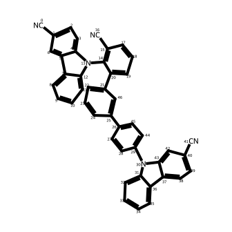 N#Cc1ccc2c(c1)c1ccccc1n2-c1c(C#N)cccc1-c1cccc(-c2ccc(-n3c4ccccc4c4ccc(C#N)cc43)cc2)c1